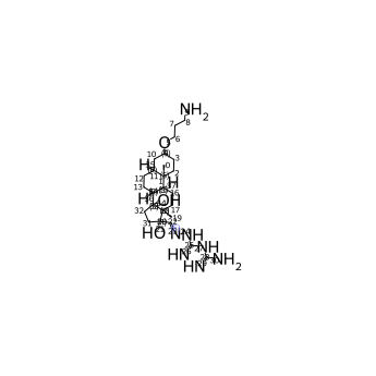 C[C@]12CC[C@H](OCCCN)C[C@H]1CC[C@@H]1[C@@H]2CC[C@]2(C)[C@@](O)(/C=N/NC(=N)NC(=N)N)CC[C@]12O